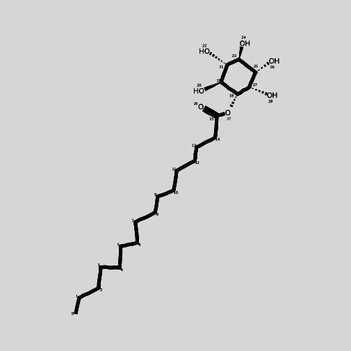 CCCCCCCCCCCCCCCC(=O)O[C@@H]1[C@@H](O)[C@H](O)[C@@H](O)[C@H](O)[C@@H]1O